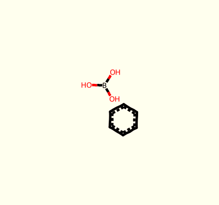 OB(O)O.c1ccccc1